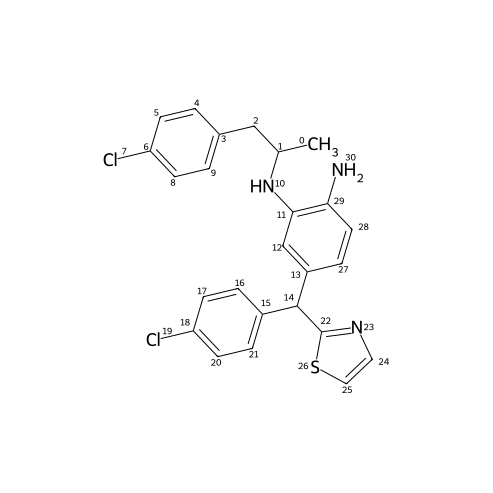 CC(Cc1ccc(Cl)cc1)Nc1cc(C(c2ccc(Cl)cc2)c2nccs2)ccc1N